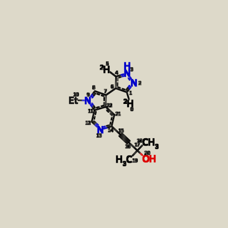 [2H]c1n[nH]c([2H])c1-c1cn(CC)c2cnc(C#CC(C)(C)O)cc12